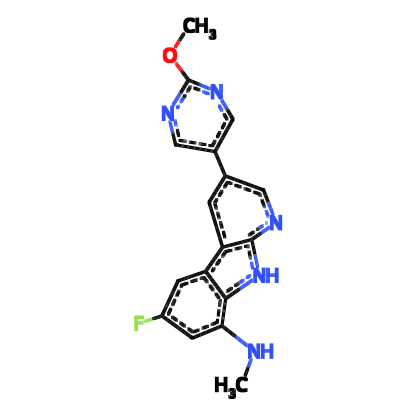 CNc1cc(F)cc2c1[nH]c1ncc(-c3cnc(OC)nc3)cc12